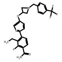 CCc1c(-c2ccc(OC3CN(Cc4ccc(C(F)(F)F)cc4)C3)cn2)ccc(C(N)=O)c1F